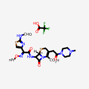 CCCON=C(C(=O)NC1C(=O)N2C(C(=O)O)=C(CC(=O)N3CCN(C)CC3)CS[C@@H]12)c1csc(NC=O)n1.O=C(O)C(F)(F)F